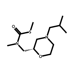 CSC(=O)N(C)C[C@@H]1CN(CC(C)C)CCO1